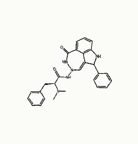 CN(C)[C@@H](Cc1ccccc1)C(=O)NN1C=C2c3c(cccc3C(=O)N1)NC2c1ccccc1